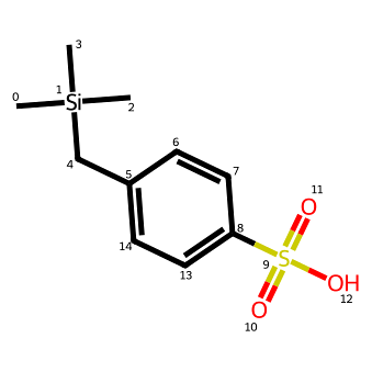 C[Si](C)(C)Cc1ccc(S(=O)(=O)O)cc1